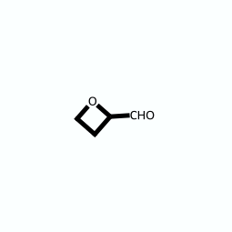 O=CC1CCO1